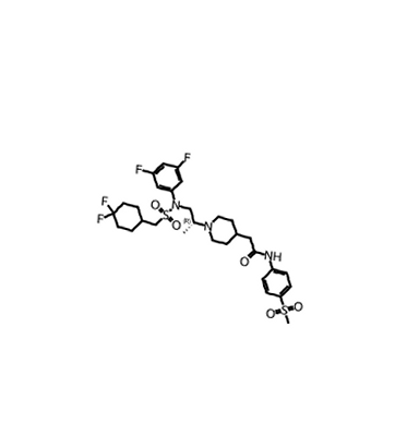 C[C@H](CN(c1cc(F)cc(F)c1)S(=O)(=O)CC1CCC(F)(F)CC1)N1CCC(CC(=O)Nc2ccc(S(C)(=O)=O)cc2)CC1